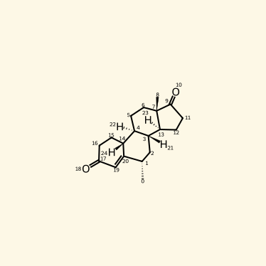 C[C@H]1C[C@@H]2[C@H](CC[C@]3(C)C(=O)CC[C@@H]23)[C@H]2CCC(=O)C=C12